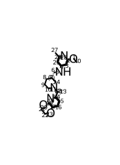 COc1cc(NC[C@H]2CCCN([C@H](C)c3ccc4c(n3)OCCO4)C2)cc(C)n1